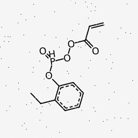 C=CC(=O)OO[PH](=O)Oc1ccccc1CC